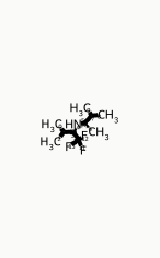 CC(C)[C@@H](N[C@H](C)C(C)C)C(F)(F)F